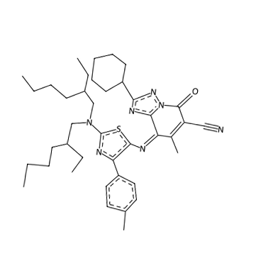 CCCCC(CC)CN(CC(CC)CCCC)c1nc(-c2ccc(C)cc2)c(/N=C2/C(C)=C(C#N)C(=O)n3nc(C4CCCCC4)nc32)s1